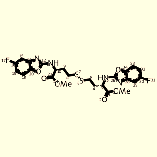 COC(=O)[C@H](CCSSCC[C@H](Nc1nc2cc(F)ccc2o1)C(=O)OC)Nc1nc2cc(F)ccc2o1